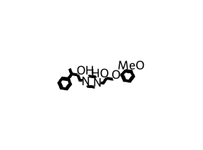 COc1ccccc1OCC(O)CN1CCN(CC(O)C(C)c2ccccc2)CC1